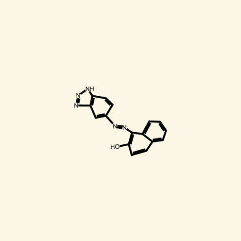 Oc1ccc2ccccc2c1N=Nc1ccc2[nH]nnc2c1